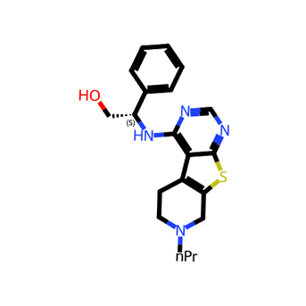 CCCN1CCc2c(sc3ncnc(N[C@H](CO)c4ccccc4)c23)C1